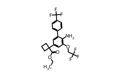 CCOC(=O)C1(c2cc(OCC(F)(F)F)c(N)c(-c3ccc(C(F)(F)F)cc3)c2)CCC1